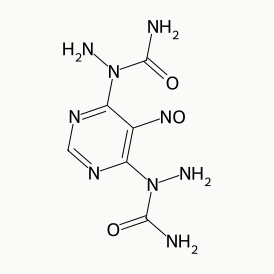 NC(=O)N(N)c1ncnc(N(N)C(N)=O)c1N=O